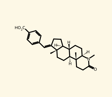 CN1C(=O)CC[C@]2(C)[C@H]3CC[C@]4(C)C(=Cc5ccc(C(=O)O)cc5)CC[C@H]4[C@@H]3CC[C@@H]12